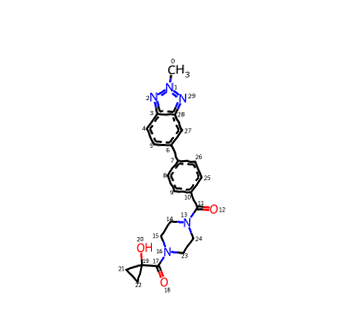 Cn1nc2ccc(-c3ccc(C(=O)N4CCN(C(=O)C5(O)CC5)CC4)cc3)cc2n1